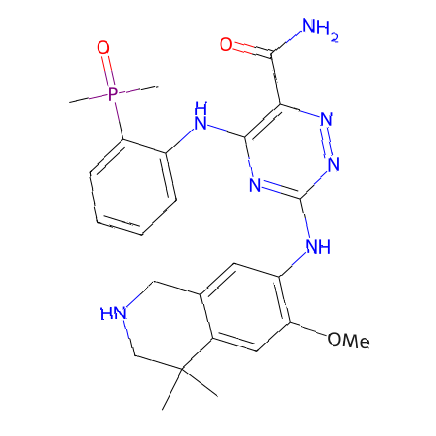 COc1cc2c(cc1Nc1nnc(C(N)=O)c(Nc3ccccc3P(C)(C)=O)n1)CNCC2(C)C